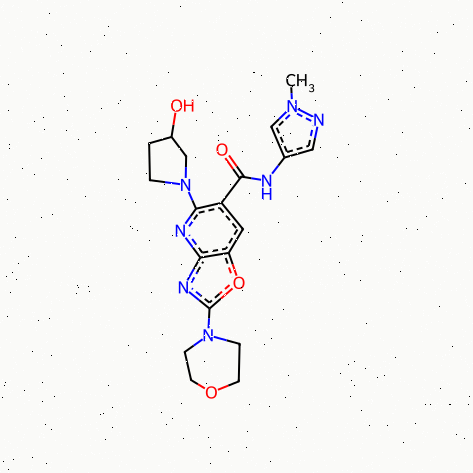 Cn1cc(NC(=O)c2cc3oc(N4CCOCC4)nc3nc2N2CCC(O)C2)cn1